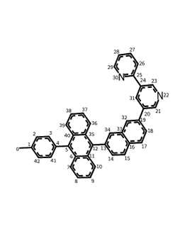 Cc1ccc(-c2c3ccccc3c(-c3ccc4ccc(-c5cncc(-c6ccccn6)c5)cc4c3)c3ccccc23)cc1